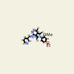 CCOc1ccc(-n2c(C)c3c(C)nnc(NCc4cccnc4)c3c2C)c(OC)c1